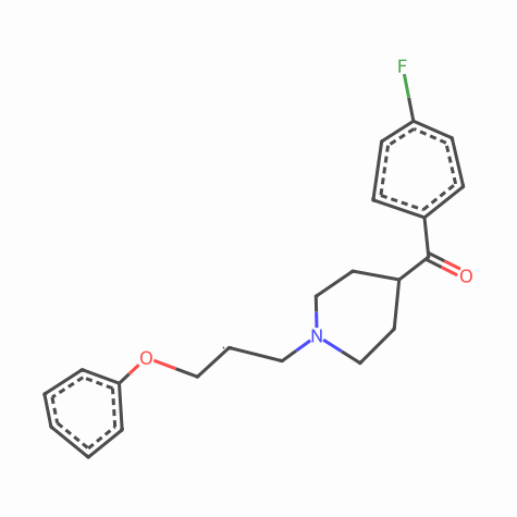 O=C(c1ccc(F)cc1)C1CCN(C[CH]COc2ccccc2)CC1